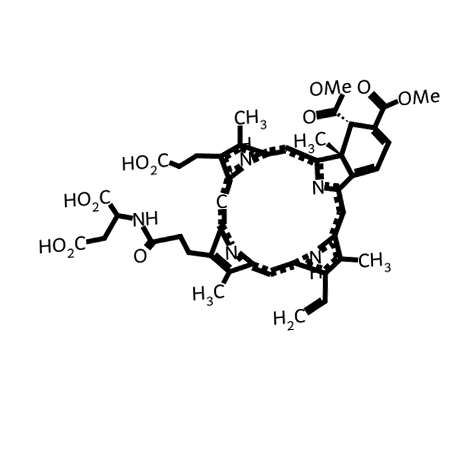 C=Cc1c(C)c2cc3nc(cc4[nH]c(cc5nc(cc1[nH]2)C(C)=C5CCC(=O)NC(CC(=O)O)C(=O)O)c(CCC(=O)O)c4C)[C@@]1(C)C3=CC=C(C(=O)OC)[C@H]1C(=O)OC